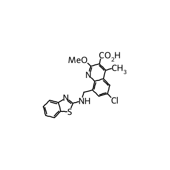 COc1nc2c(CNc3nc4ccccc4s3)cc(Cl)cc2c(C)c1C(=O)O